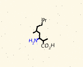 CC(C)CCC(C)CC(N)C(C)C(=O)O